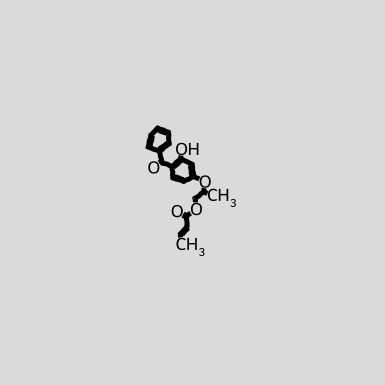 CC=CC(=O)OCC(C)Oc1ccc(C(=O)c2ccccc2)c(O)c1